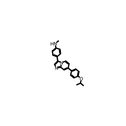 CNc1ccc(-c2cnc3cc(-c4ccc(OC(C)C)cc4)ccn23)cc1